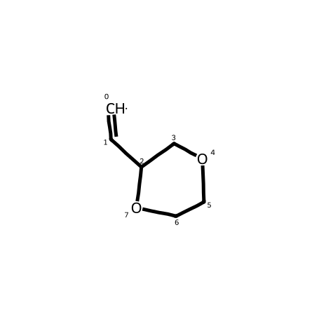 [CH]=CC1COCCO1